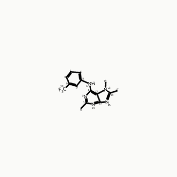 Cc1nc(Nc2cccc(C(F)(F)F)c2)c2c(n1)nc(C)n2C